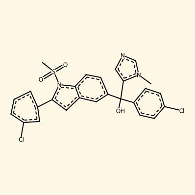 Cn1cncc1C(O)(c1ccc(Cl)cc1)c1ccc2c(c1)cc(-c1cccc(Cl)c1)n2S(C)(=O)=O